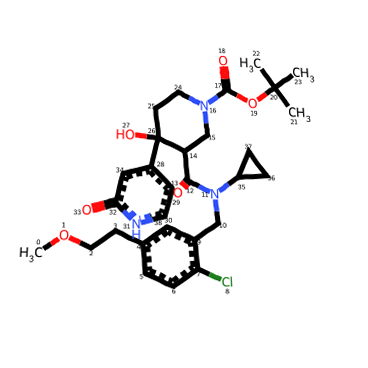 COCCc1ccc(Cl)c(CN(C(=O)C2CN(C(=O)OC(C)(C)C)CCC2(O)c2cc[nH]c(=O)c2)C2CC2)c1